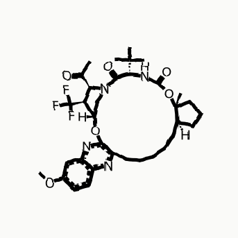 COc1ccc2nc3c(nc2c1)O[C@H]1CN(C(=O)[C@H](C(C)(C)C)NC(=O)O[C@]2(C)CCC[C@H]2CCCCC3)[C@H](C(C)=O)[C@@H]1C(F)(F)F